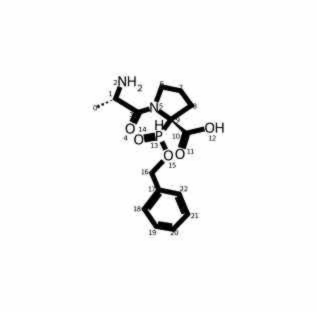 C[C@H](N)C(=O)N1CCC[C@]1(C(=O)O)[PH](=O)OCc1ccccc1